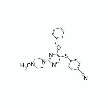 CN1CCN(c2ncc(Sc3ccc(C#N)cc3)c(OCc3ccccc3)n2)CC1